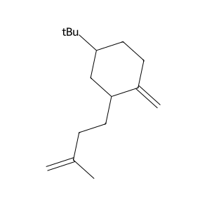 C=C(C)CCC1CC(C(C)(C)C)CCC1=C